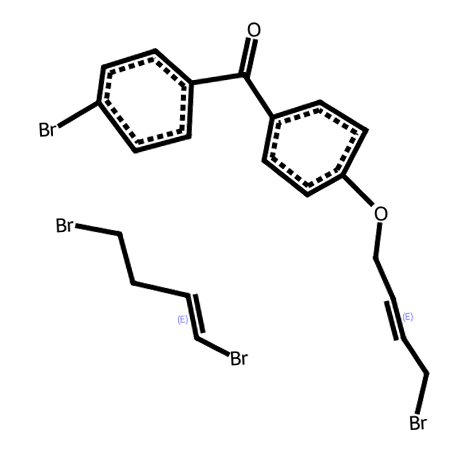 Br/C=C/CCBr.O=C(c1ccc(Br)cc1)c1ccc(OC/C=C/CBr)cc1